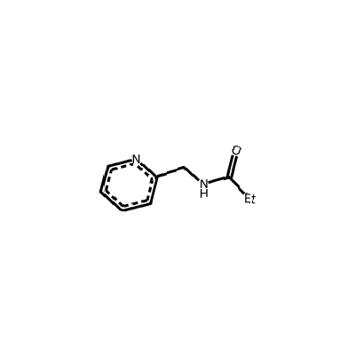 CCC(=O)NCc1ccccn1